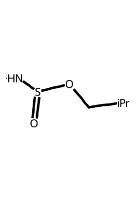 CC(C)COS([NH])=O